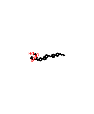 C=C(C)C(=O)OCC(COC(=O)C(=C)CO)CC1CCC(c2ccc3cc(CCc4ccc(-c5ccc(CCCCC)cc5)cc4)ccc3c2)CC1